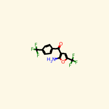 Nc1oc(C(F)(F)F)cc1C(=O)c1ccc(C(F)(F)F)cc1